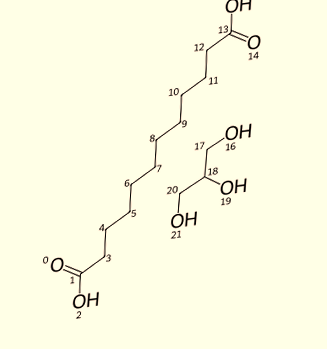 O=C(O)CCCCCCCCCCC(=O)O.OCC(O)CO